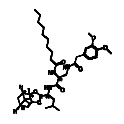 CCCCCCCCCC(=O)N[C@@H](CNC(=O)Cc1ccc(OC)c(OC)c1)C(=O)N[C@@H](CC(C)C)B1OC2C[C@@H]3C[C@@H](C3(C)C)[C@]2(C)O1